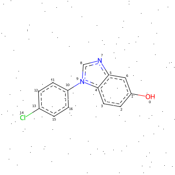 Oc1ccc2c(c1)ncn2-c1ccc(Cl)cc1